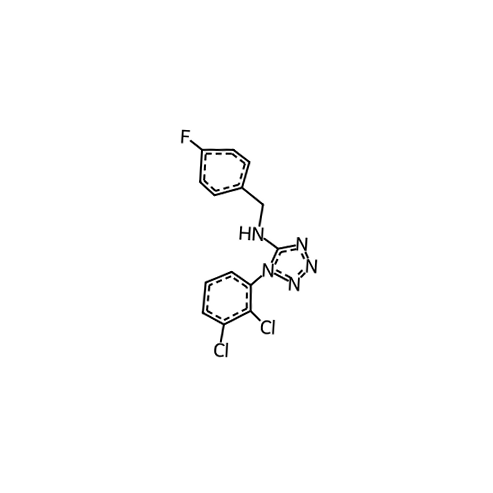 Fc1ccc(CNc2nnnn2-c2cccc(Cl)c2Cl)cc1